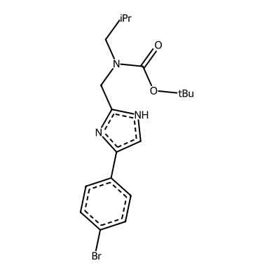 CC(C)CN(Cc1nc(-c2ccc(Br)cc2)c[nH]1)C(=O)OC(C)(C)C